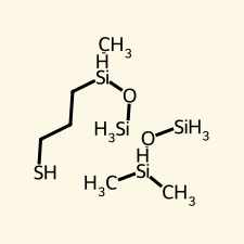 C[SiH](C)O[SiH3].C[SiH](CCCS)O[SiH3]